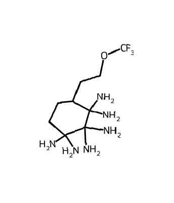 NC1(N)CCC(CCOC(F)(F)F)C(N)(N)C1(N)N